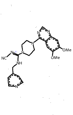 COc1cc2ncnc(N3CCN(/C(=N/C#N)NCc4ccncc4)CC3)c2cc1OC